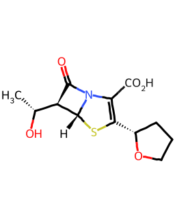 C[C@@H](O)[C@H]1C(=O)N2C(C(=O)O)=C([C@@H]3CCCO3)S[C@H]12